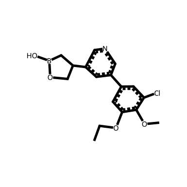 CCOc1cc(-c2cncc(C3COB(O)C3)c2)cc(Cl)c1OC